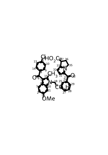 COc1ccc2c(C(=O)c3ccc(Cl)cc3)c(C)n(CC(=O)O)c2c1.O=C(c1ccccc1)c1ccc2n1CCC2C(=O)O